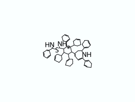 N=C(SC(N)C1C(C2=CC=CCC2)=C(C2CC=CCC2)C(C2=CC=C(C3=CCCC=C3)NC(C3=CC=CCC3)C2)C(C2=CCCCC2)C1C1CC=CCC1)c1ccccc1